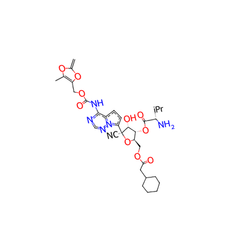 C=C1OC(C)=C(COC(=O)Nc2ncnn3c([C@]4(C#N)O[C@H](COC(=O)CC5CCCCC5)[C@@H](OC(=O)[C@@H](N)C(C)C)[C@H]4O)ccc23)O1